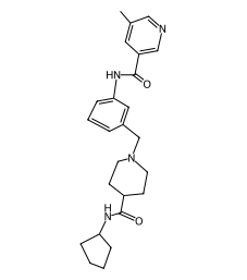 Cc1cncc(C(=O)Nc2cccc(CN3CCC(C(=O)NC4CCCC4)CC3)c2)c1